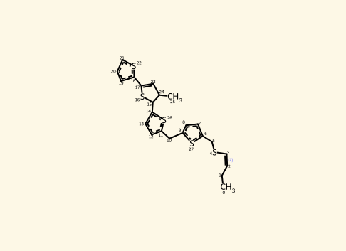 CC/C=C\SCc1ccc(Cc2ccc(C3SC(c4cccs4)=CC3C)s2)s1